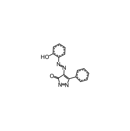 O=C1N=NC(c2ccccc2)=C1N=Nc1ccccc1O